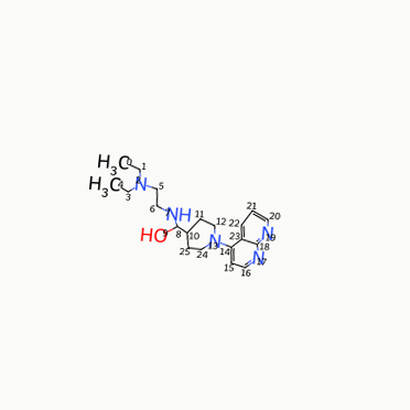 CCN(CC)CCNC(O)C1CCN(c2ccnc3ncccc23)CC1